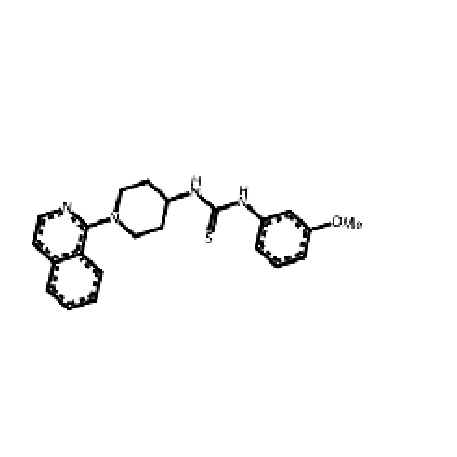 COc1cccc(NC(=S)NC2CCN(c3nccc4ccccc34)CC2)c1